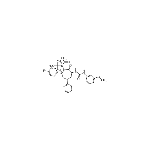 COc1cccc(NC(=O)NC2CC(c3ccccc3)CC(c3ccc(F)cc3)N(N(C(C)=O)C(C)(C)C)C2=O)c1